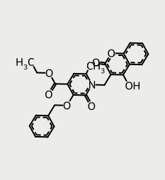 CCOC(=O)c1cc(C)n(Cc2c(O)c3ccccc3oc2=O)c(=O)c1OCc1ccccc1